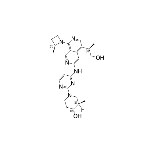 C[C@@H](CO)c1cnc(N2CC[C@@H]2C)c2cnc(Nc3ccnc(N4CC[C@@H](O)[C@@](C)(F)C4)n3)cc12